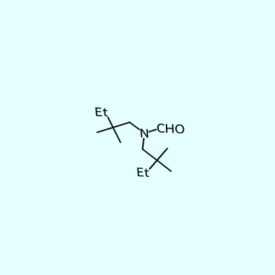 CCC(C)(C)CN(C=O)CC(C)(C)CC